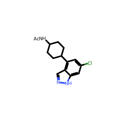 CC(=O)NC1CCC(c2cc(Cl)cc3[nH]ncc23)CC1